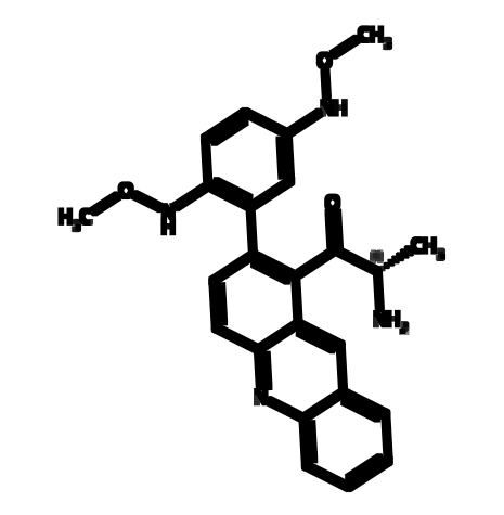 CONc1ccc(NOC)c(-c2ccc3nc4ccccc4cc3c2C(=O)[C@H](C)N)c1